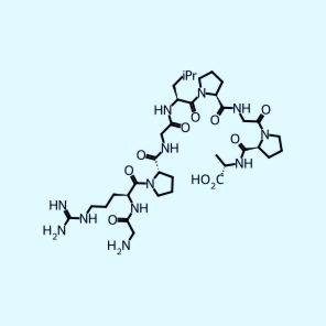 CC(C)C[C@H](NC(=O)CNC(=O)[C@@H]1CCCN1C(=O)[C@H](CCCNC(=N)N)NC(=O)CN)C(=O)N1CCC[C@H]1C(=O)NCC(=O)N1CCC[C@H]1C(=O)N[C@@H](C)C(=O)O